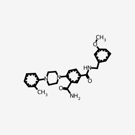 COc1cccc(CNC(=O)c2ccc(N3CCN(c4ccccc4C)CC3)c(C(N)=O)c2)c1